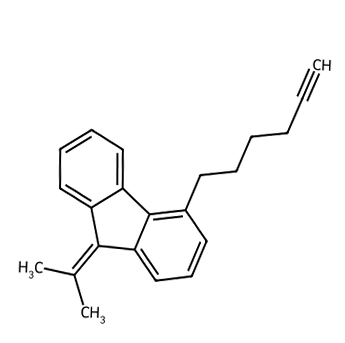 C#CCCCCc1cccc2c1-c1ccccc1C2=C(C)C